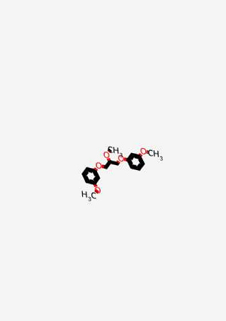 COc1cccc(OCC(COc2cccc(OC)c2)OC)c1